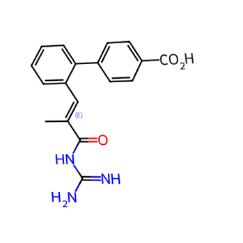 C/C(=C\c1ccccc1-c1ccc(C(=O)O)cc1)C(=O)NC(=N)N